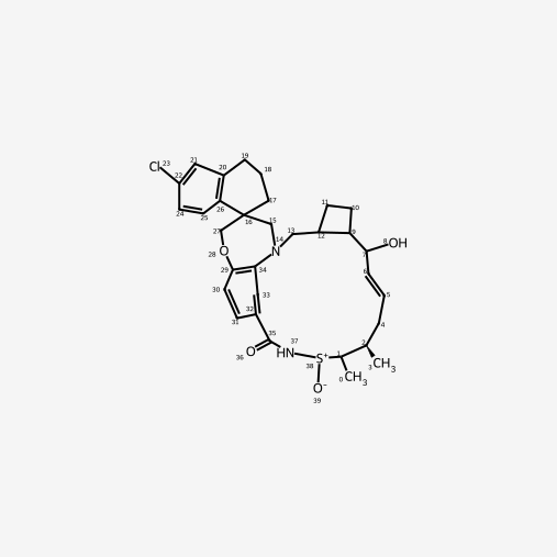 CC1[C@H](C)C/C=C/C(O)C2CCC2CN2CC3(CCCc4cc(Cl)ccc43)COc3ccc(cc32)C(=O)N[S+]1[O-]